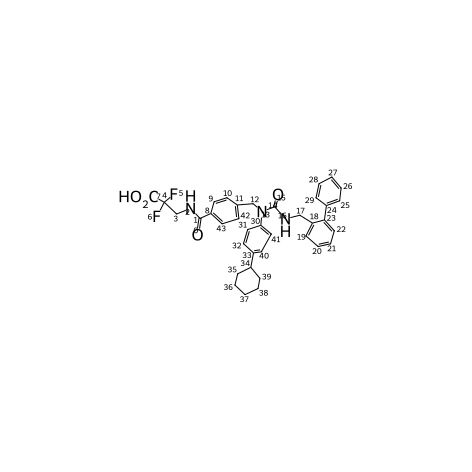 O=C(NCC(F)(F)C(=O)O)c1ccc(CN(C(=O)NCc2ccccc2-c2ccccc2)c2ccc(C3CCCCC3)cc2)cc1